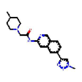 CC1CCN(CC(=O)Nc2cc3cc(-c4cn(C)nn4)ccc3cn2)CC1